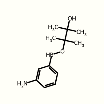 CC(C)(O)C(C)(C)OBc1cccc(N)c1